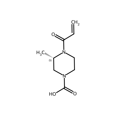 C=CC(=O)N1CCN(C(=O)O)C[C@@H]1C